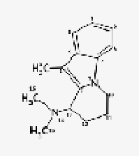 Cc1c2n(c3ccccc13)CCCC2N(C)C